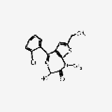 CCc1cc2c(s1)N(C)C(=O)C(O)N=C2c1ccccc1Cl